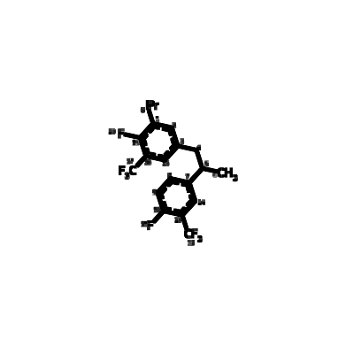 CC(C)c1cc(CC(C)c2ccc(F)c(C(F)(F)F)c2)cc(C(F)(F)F)c1F